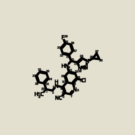 C[C@H](CNc1c(C#N)cnc2c(Cl)cc(NC(c3ccc(F)cc3)c3cn(C4CC4)nn3)cc12)c1ccccc1